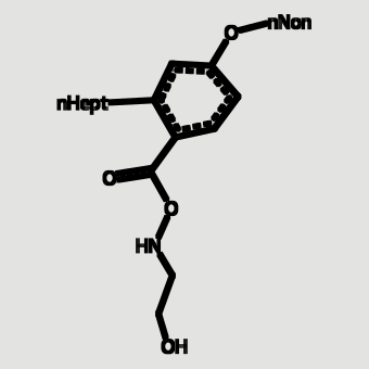 CCCCCCCCCOc1ccc(C(=O)ONCCO)c(CCCCCCC)c1